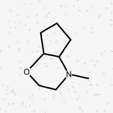 CN1CCOC2CCCC21